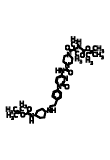 CC(C)(C)OC(=O)NC(C)(C)C(=O)N1CCN(C(=O)Nc2ccn(-c3ccc(CCN[C@H]4CC[C@@H](NC(=O)OC(C)(C)C)CC4)cc3)c(=O)n2)CC1